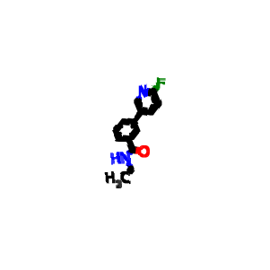 CCNC(=O)c1cccc(-c2ccc(F)nc2)c1